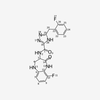 O=C(NC1CNc2cccc(F)c2NC1=O)c1nnc(Cc2ccccc2F)[nH]1